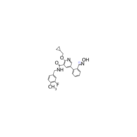 Cc1ccc(CNC(=O)c2cc(-c3ccccc3/C=N/O)cnc2OCC2CC2)cc1F